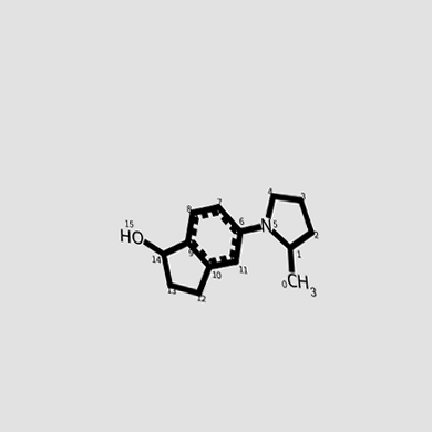 CC1CCCN1c1ccc2c(c1)CCC2O